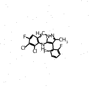 Cc1nn(C)c(Nc2c(F)cc(F)c(Cl)c2Cl)c1-c1c(F)cccc1F